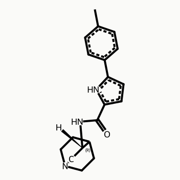 Cc1ccc(-c2ccc(C(=O)N[C@H]3CN4CCC3CC4)[nH]2)cc1